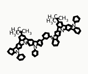 CC(C)(C)c1cc2c3cc4c(cc3n3c5cc6c7ccccc7n(-c7cccc(-c8ccc9c(c8)c8cc%10c%11cc(C(C)(C)C)cc%12c%13cc%14c%15ccccc%15n(-c%15ccccc%15)c%14cc%13n(c%10cc8n9-c8ccccc8)c%12%11)c7)c6cc5c(c1)c23)c1ccccc1n4-c1ccccc1